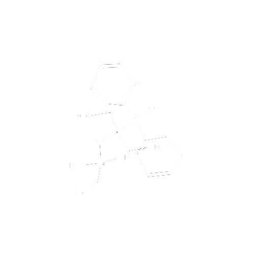 CCC(CC)(O[Si](C)(C)CC)[Si](O)(c1ccccc1)c1ccccc1